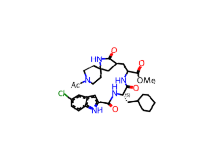 COC(=O)C(CC1CC2(CCN(C(C)=O)CC2)NC1=O)NC(=O)[C@H](CC1CCCCC1)NC(=O)c1cc2cc(Cl)ccc2[nH]1